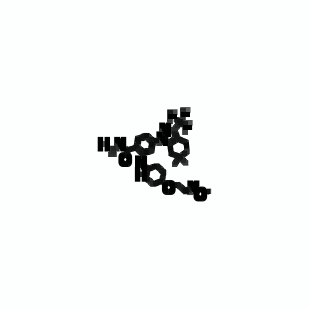 CO/N=C/COC1CCC(Nc2cc(-n3nc(C(F)(F)F)c4c3CC(C)(C)CC4)ccc2C(N)=O)CC1